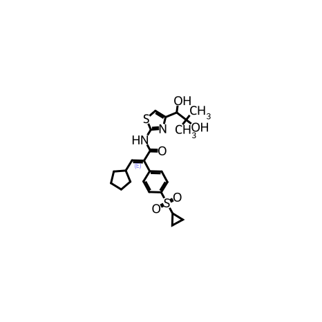 CC(C)(O)C(O)c1csc(NC(=O)/C(=C/C2CCCC2)c2ccc(S(=O)(=O)C3CC3)cc2)n1